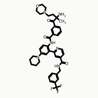 CC(N)(CCN1CCOCC1)C(=O)c1cccc(C(=O)Nc2ccc(N3CCCCC3)cc2-c2cc(C(=O)NCc3cccc(C(F)(F)F)c3)ccn2)c1